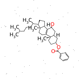 CC(C)CCC[C@@H](C)[C@H]1CC[C@H]2C3=C(CC[C@]12C)[C@@]1(C)CC[C@H](OC(=O)c2ccccc2)C[C@@H]1CC3=O